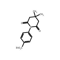 CCOC(=O)c1ccc(N2C(=O)CC(C)(C)CC2=O)cc1